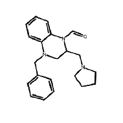 O=CN1c2ccccc2N(Cc2ccccc2)CC1CN1CCCC1